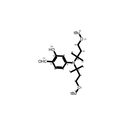 CC(C)(C)OCCC(C)(C)N(c1ccc(C=O)c(O)c1)C(C)(C)CCOC(C)(C)C